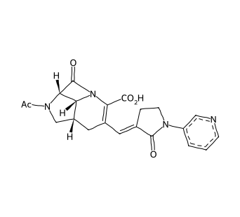 CC(=O)N1C[C@H]2CC(/C=C3\CCN(c4cccnc4)C3=O)=C(C(=O)O)N3C(=O)[C@@H]1[C@@H]23